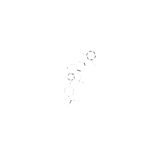 COc1cccc(Cl)c1C(=O)CN(CC(C)(C)C)C(=O)c1cnn([C@H]2CC[C@](C)(C(=O)O)CC2)c1C(F)(F)F